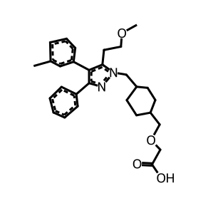 COCCc1c(-c2cccc(C)c2)c(-c2ccccc2)nn1CC1CCC(COCC(=O)O)CC1